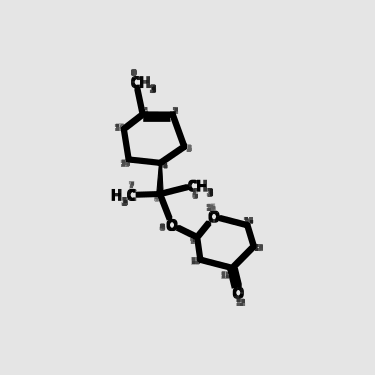 CC1=CC[C@@H](C(C)(C)OC2CC(=O)CCO2)CC1